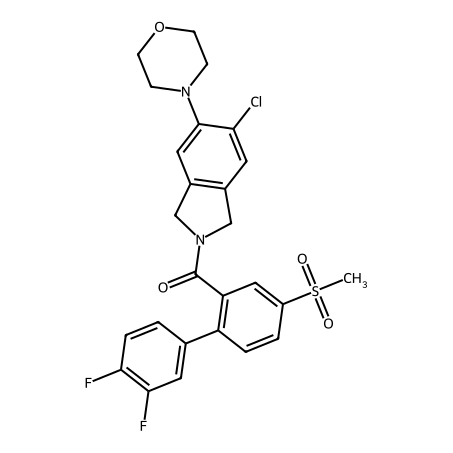 CS(=O)(=O)c1ccc(-c2ccc(F)c(F)c2)c(C(=O)N2Cc3cc(Cl)c(N4CCOCC4)cc3C2)c1